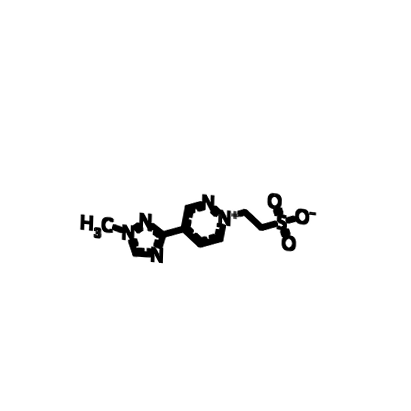 Cn1cnc(-c2cc[n+](CCS(=O)(=O)[O-])nc2)n1